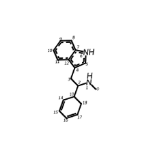 CNC(Cc1c[nH]c2ccccc12)C1C=CC=CC1